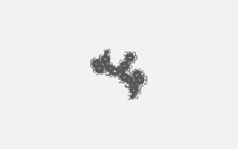 C=Cc1ccc(N(c2cc3cc(N(c4ccc(-c5ccccc5)cc4)c4ccc5sc(N(c6ccc(C=C)cc6)c6cccc7ccccc67)cc5c4)ccc3s2)c2cccc3ccccc23)cc1